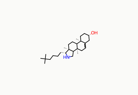 CC(C)(C)CCCC[C@H]1NCC2[C@]3(C)CC=C4C[C@@H](O)CC[C@]4(C)C3CC[C@@]21C